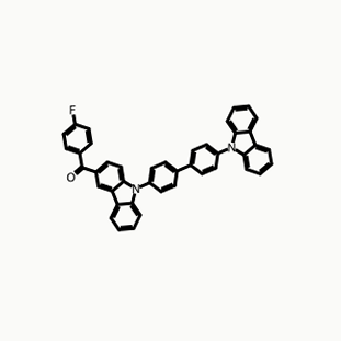 O=C(c1ccc(F)cc1)c1ccc2c(c1)c1ccccc1n2-c1ccc(-c2ccc(-n3c4ccccc4c4ccccc43)cc2)cc1